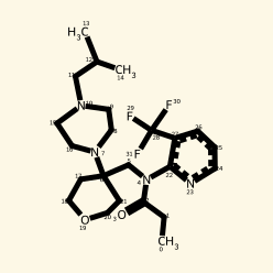 CCC(=O)N(CC1(N2CCN(CC(C)C)CC2)CCOCC1)c1ncccc1C(F)(F)F